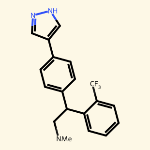 CNCC(c1ccc(-c2cn[nH]c2)cc1)c1ccccc1C(F)(F)F